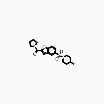 CC1CCN(S(=O)(=O)c2ccc3oc(C(=O)N4CCCC4)cc3c2)CC1